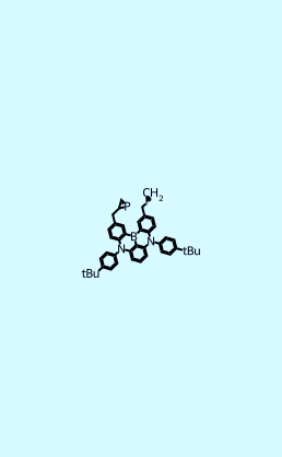 C=PCc1ccc2c(c1)B1c3cc(CC4C=P4)ccc3N(c3ccc(C(C)(C)C)cc3)c3cccc(c31)N2c1ccc(C(C)(C)C)cc1